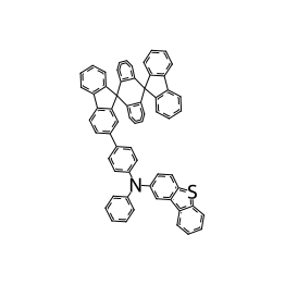 c1ccc(N(c2ccc(-c3ccc4c(c3)C3(c5ccccc5-4)c4ccccc4C4(c5ccccc5-c5ccccc54)c4ccccc43)cc2)c2ccc3sc4ccccc4c3c2)cc1